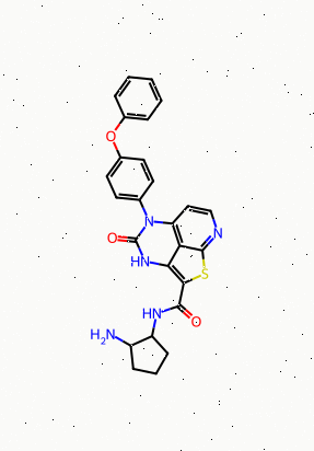 NC1CCCC1NC(=O)c1sc2nccc3c2c1NC(=O)N3c1ccc(Oc2ccccc2)cc1